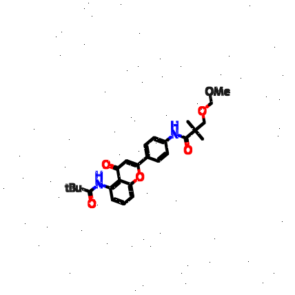 COCOCC(C)(C)C(=O)Nc1ccc(-c2cc(=O)c3c(NC(=O)C(C)(C)C)cccc3o2)cc1